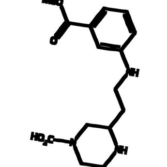 COC(=O)c1cccc(NCCC2CN(C(=O)O)CCN2)c1